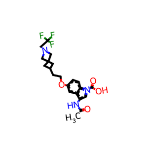 CC(=O)Nc1cn(C(=O)O)c2ccc(OCCC3CC4(C3)CN(CC(F)(F)F)C4)cc12